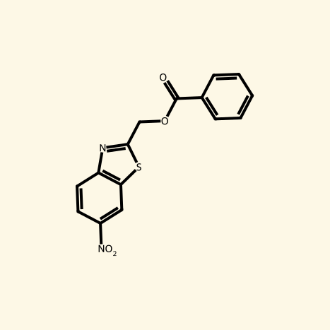 O=C(OCc1nc2ccc([N+](=O)[O-])cc2s1)c1ccccc1